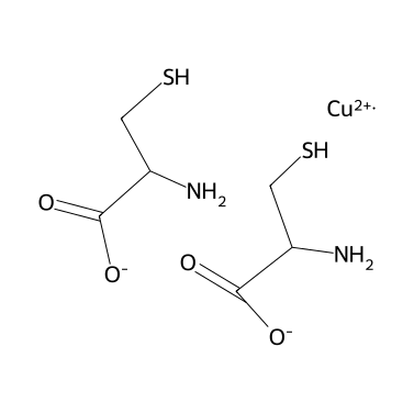 NC(CS)C(=O)[O-].NC(CS)C(=O)[O-].[Cu+2]